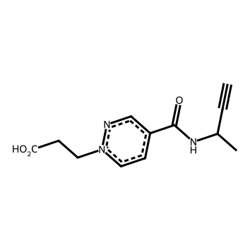 C#CC(C)NC(=O)c1cc[n+](CCC(=O)O)nc1